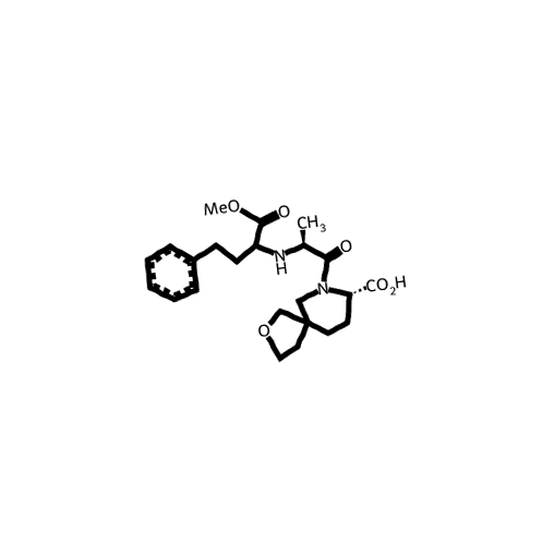 COC(=O)C(CCc1ccccc1)N[C@@H](C)C(=O)N1CC2(CCOC2)CC[C@H]1C(=O)O